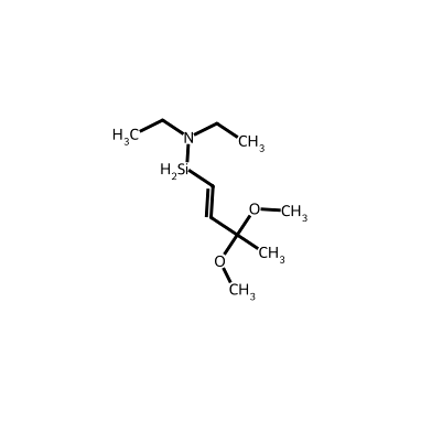 CCN(CC)[SiH2]C=CC(C)(OC)OC